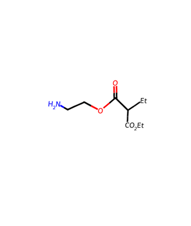 CCOC(=O)C(CC)C(=O)OCCN